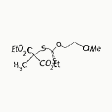 CCOC(=O)C(C)(SC(=S)OCCOC)C(=O)OCC